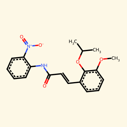 COc1cccc(/C=C/C(=O)Nc2ccccc2[N+](=O)[O-])c1OC(C)C